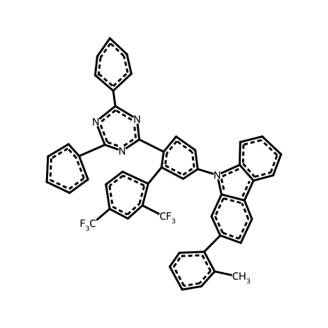 Cc1ccccc1-c1ccc2c3ccccc3n(-c3ccc(-c4nc(-c5ccccc5)nc(-c5ccccc5)n4)c(-c4ccc(C(F)(F)F)cc4C(F)(F)F)c3)c2c1